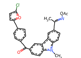 CC(=O)O/N=C(\C)c1ccc2c(c1)c1cc(C(=O)c3ccc(-c4ccc(Cl)o4)cc3)ccc1n2C